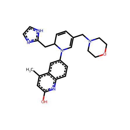 Cc1cc(O)nc2ccc(N3C=C(CN4CCOCC4)C=CC3Cc3ncc[nH]3)cc12